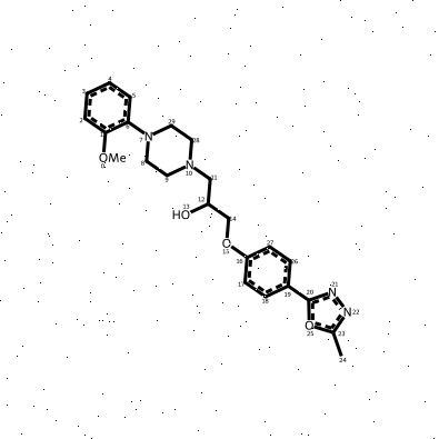 COc1ccccc1N1CCN(CC(O)COc2ccc(-c3nnc(C)o3)cc2)CC1